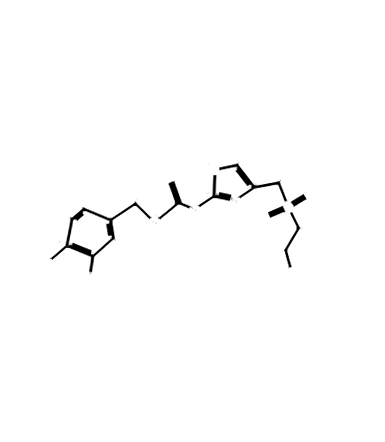 CCCS(=O)(=O)Cc1csc(NC(=O)NCc2ccc(Cl)c(Cl)c2)n1